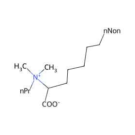 CCCCCCCCCCCCCCC(C(=O)[O-])[N+](C)(C)CCC